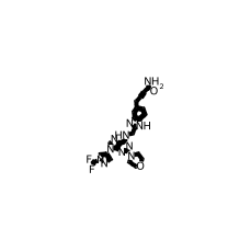 NC(=O)C#CCc1ccc2[nH]c(CNc3nc(N4CCOCC4)nc4c3ncn4-c3cnn(C(F)F)c3)nc2c1